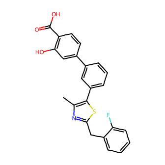 Cc1nc(Cc2ccccc2F)sc1-c1cccc(-c2ccc(C(=O)O)c(O)c2)c1